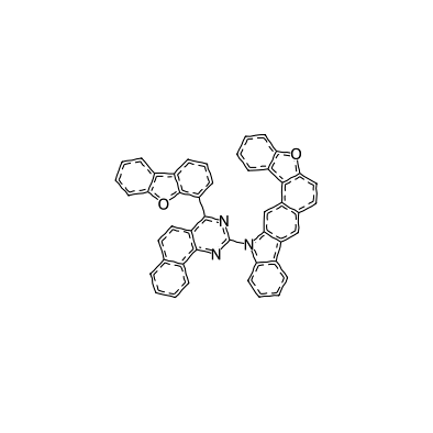 c1ccc2c(c1)ccc1c(-c3cccc4c3oc3ccccc34)nc(-n3c4ccccc4c4cc5ccc6oc7ccccc7c6c5cc43)nc12